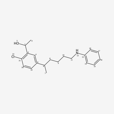 CC(O)c1cc(C(C)CCCCNc2ccccc2)ccc1Cl